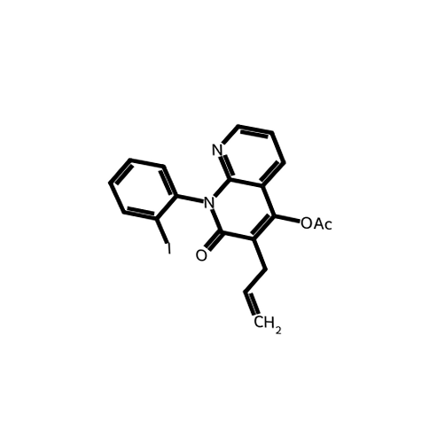 C=CCc1c(OC(C)=O)c2cccnc2n(-c2ccccc2I)c1=O